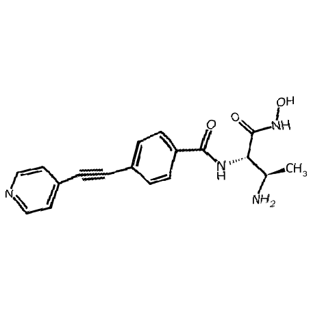 C[C@@H](N)[C@H](NC(=O)c1ccc(C#Cc2ccncc2)cc1)C(=O)NO